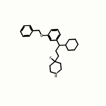 FC1(CCC(c2cccc(OCc3ccccc3)c2)C2CCCCC2)CCNCC1